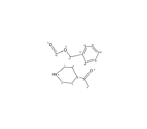 CC(=O)C1CCNCC1.O=COCc1ccccc1